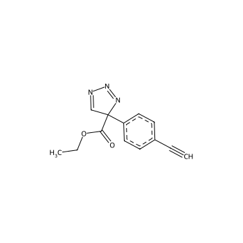 C#Cc1ccc(C2(C(=O)OCC)C=NN=N2)cc1